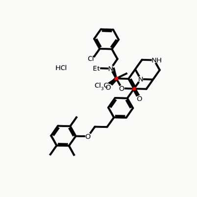 CCN(Cc1ccccc1Cl)C(=O)C1=C(c2ccc(CCOc3c(C)ccc(C)c3C)cc2)CC2CNCC1N2C(=O)OC(C)(C)C(Cl)(Cl)Cl.Cl